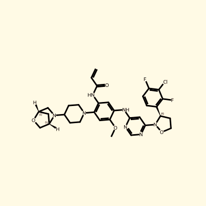 C=CC(=O)Nc1cc(Nc2cc(N3OCC[C@@H]3c3ccc(F)c(Cl)c3F)ncn2)c(OC)cc1N1CCC(N2C[C@@H]3C[C@H]2CO3)CC1